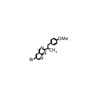 COc1ccc(CC(C)c2ncc3cc(Br)cnc3n2)cc1